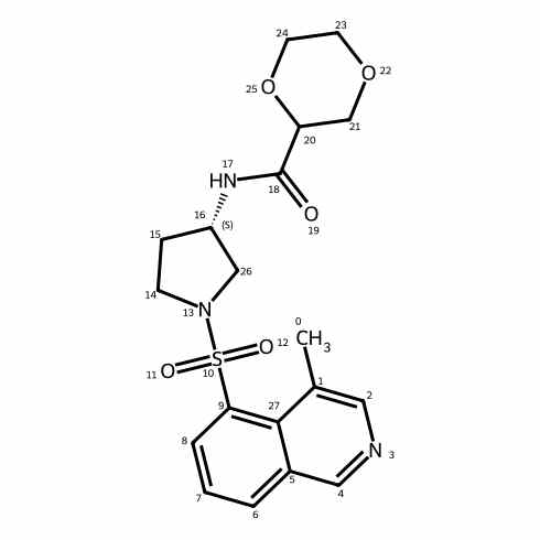 Cc1cncc2cccc(S(=O)(=O)N3CC[C@H](NC(=O)C4COCCO4)C3)c12